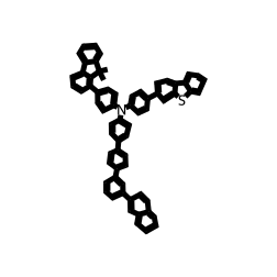 CC1(C)c2ccccc2-c2cccc(-c3ccc(N(c4ccc(-c5ccc(-c6cccc(-c7ccc8ccccc8c7)c6)cc5)cc4)c4ccc(-c5ccc6c(c5)sc5ccccc56)cc4)cc3)c21